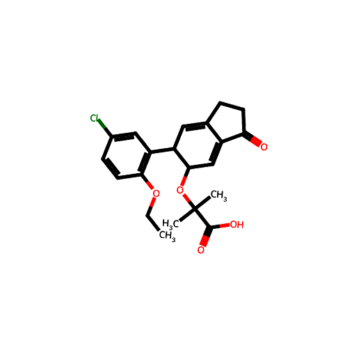 CCOc1ccc(Cl)cc1C1C=C2CCC(=O)C2=CC1OC(C)(C)C(=O)O